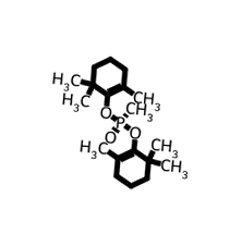 CC1=C(OP(C)(=O)OC2=C(C)CCCC2(C)C)C(C)(C)CCC1